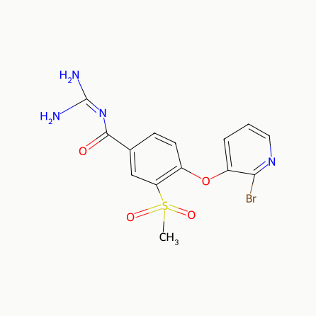 CS(=O)(=O)c1cc(C(=O)N=C(N)N)ccc1Oc1cccnc1Br